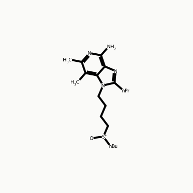 CCCC[S+]([O-])CCCCn1c(CCC)nc2c(N)nc(C)c(C)c21